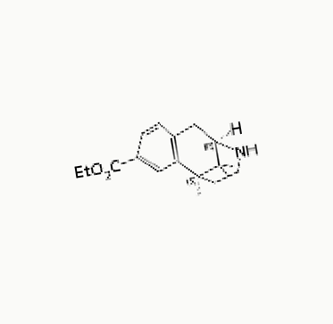 CCOC(=O)c1ccc2c(c1)[C@]1(C)CCN[C@H](C2)C1(C)C